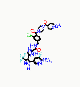 Nc1ncc(-c2[nH]nc(C(F)(F)F)c2-c2cnc(C(=O)NCc3ccc(C(=O)N4CCN(C(=O)C5CCNCC5)CC4)c(Cl)c3)[nH]2)cc1F